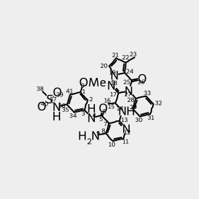 COc1cc(NC(=O)c2c(N)ccnc2NC(C)c2nn3ccc(C)c3c(=O)n2-c2ccccc2)cc(NS(C)(=O)=O)c1